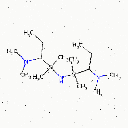 CCC(N(C)C)[Si](C)(C)N[Si](C)(C)C(CC)N(C)C